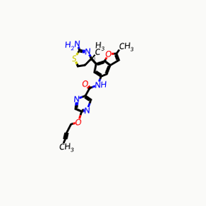 CC#CCOc1cnc(C(=O)Nc2cc([C@]3(C)CCSC(N)=N3)c3oc(C)cc3c2)cn1